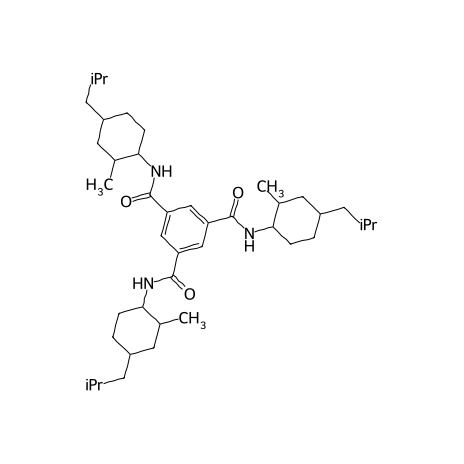 CC(C)CC1CCC(NC(=O)c2cc(C(=O)NC3CCC(CC(C)C)CC3C)cc(C(=O)NC3CCC(CC(C)C)CC3C)c2)C(C)C1